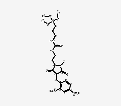 CCO[Si](CCCNC(=O)OCCN1C(=O)C(Cc2ccc(S(=O)(=O)O)cc2S(=O)(=O)O)C(=O)N1C)(OCC)OCC